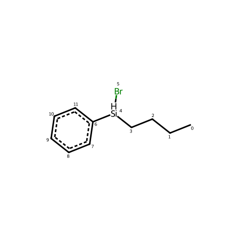 CCCC[SiH](Br)c1ccccc1